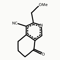 COCc1ncc2c(c1C#N)CCCC2=O